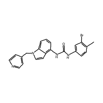 Cc1ccc(NC(=O)Nc2cccc3c2ccn3Cc2ccncc2)cc1Br